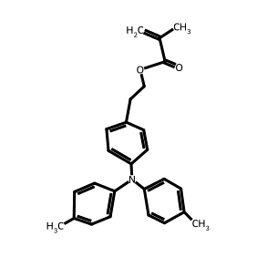 C=C(C)C(=O)OCCc1ccc(N(c2ccc(C)cc2)c2ccc(C)cc2)cc1